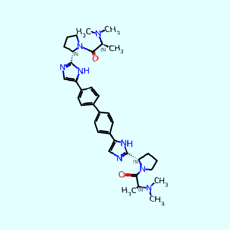 C[C@@H](C(=O)N1CCC[C@H]1c1ncc(-c2ccc(-c3ccc(-c4cnc([C@@H]5CCCN5C(=O)[C@H](C)N(C)C)[nH]4)cc3)cc2)[nH]1)N(C)C